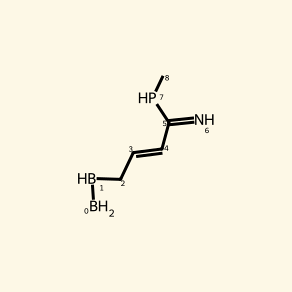 BBC/C=C/C(=N)PC